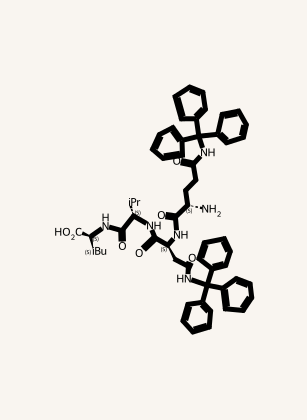 CC[C@H](C)[C@H](NC(=O)[C@@H](NC(=O)[C@H](CC(=O)NC(c1ccccc1)(c1ccccc1)c1ccccc1)NC(=O)[C@@H](N)CCC(=O)NC(c1ccccc1)(c1ccccc1)c1ccccc1)C(C)C)C(=O)O